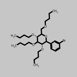 CCCCOCC1OC(c2cccc(Br)c2)[C@H](OCCCC)C(OCCCC)[C@@H]1OCCCC